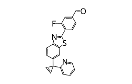 O=Cc1ccc(-c2nc3ccc(C4(c5ccccn5)C=C4)cc3s2)c(F)c1